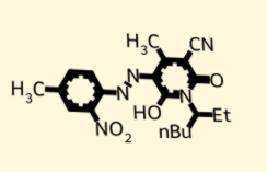 CCCCC(CC)n1c(O)c(/N=N/c2ccc(C)cc2[N+](=O)[O-])c(C)c(C#N)c1=O